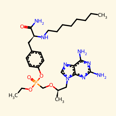 CCCCCCCCN[C@@H](Cc1ccc(OP(=O)(CO[C@H](C)Cn2cnc3c(N)nc(N)nc32)OCC)cc1)C(N)=O